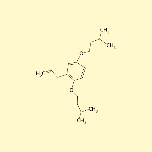 C=CCc1cc(OCCC(C)C)ccc1OCCC(C)C